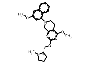 COc1cc(N2CCc3c(nc(OC[C@@H]4CCCN4C)nc3OC)C2)c2ccccc2c1